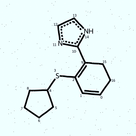 C1=CC(SC2CCCC2)=C(c2ncc[nH]2)CC1